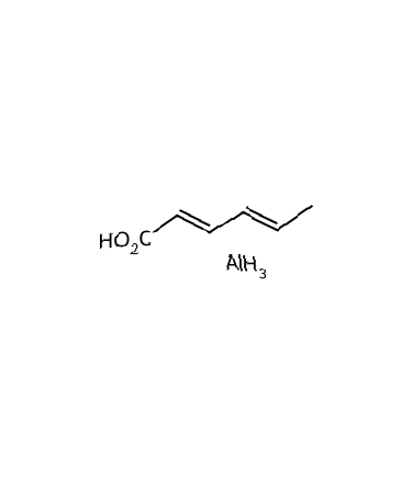 CC=CC=CC(=O)O.[AlH3]